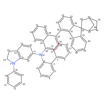 c1ccc(-c2ccccc2N(c2ccc3c(c2)N(c2ccccc2)CC3)c2ccc(-c3cccc4c3-c3ccccc3C43CC4CCC3C4)c3ccccc23)cc1